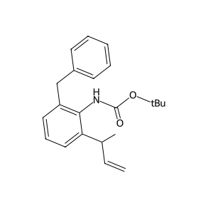 C=CC(C)c1cccc(Cc2ccccc2)c1NC(=O)OC(C)(C)C